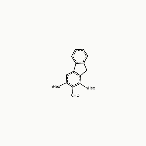 CCCCCCc1cc2c(c(CCCCCC)c1C=O)Cc1ccccc1-2